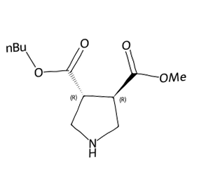 CCCCOC(=O)[C@H]1CNC[C@@H]1C(=O)OC